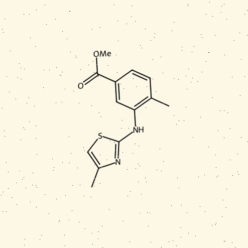 COC(=O)c1ccc(C)c(Nc2nc(C)cs2)c1